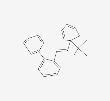 CC(C)(C)C1(C=Cc2ccccc2-c2ccccc2)C=CC=CC1